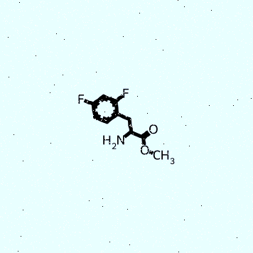 COC(=O)C(N)Cc1ccc(F)cc1F